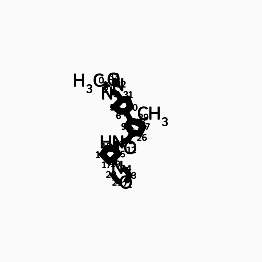 Cc1nc(-c2ccc(-c3cc(C(=O)Nc4cccc(N5CCOCC5)c4)ccc3C)cc2)no1